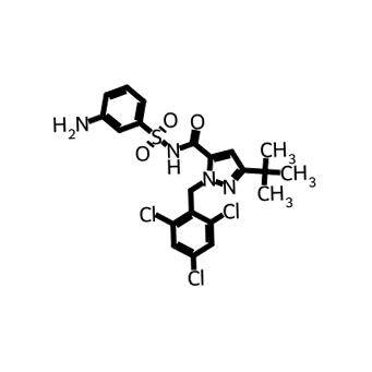 CC(C)(C)c1cc(C(=O)NS(=O)(=O)c2cccc(N)c2)n(Cc2c(Cl)cc(Cl)cc2Cl)n1